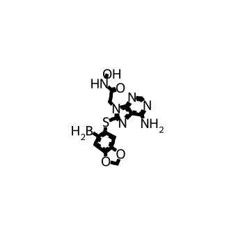 Bc1cc2c(cc1Sc1nc3c(N)ncnc3n1CC(=O)NO)OCO2